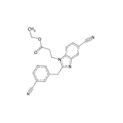 CCOC(=O)CCn1c(Cc2cccc(C#N)c2)nc2cc(C#N)ccc21